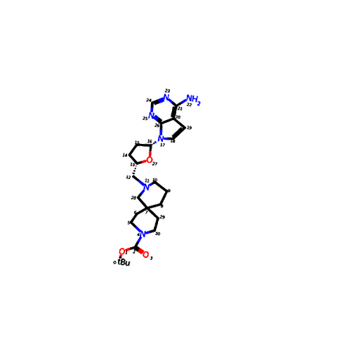 CC(C)(C)OC(=O)N1CCC2(CCCN(C[C@@H]3CC[C@H](n4ccc5c(N)ncnc54)O3)C2)CC1